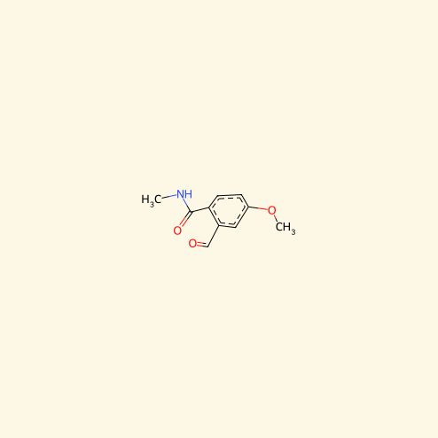 CNC(=O)c1ccc(OC)cc1C=O